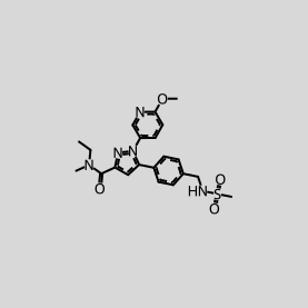 CCN(C)C(=O)c1cc(-c2ccc(CNS(C)(=O)=O)cc2)n(-c2ccc(OC)nc2)n1